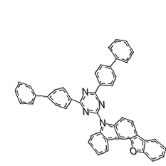 c1ccc(-c2ccc(-c3nc(-c4ccc(-c5ccccc5)cc4)nc(-n4c5ccccc5c5c6oc7ccccc7c6ccc54)n3)cc2)cc1